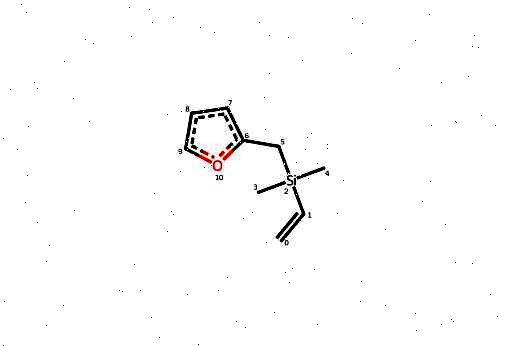 C=C[Si](C)(C)Cc1ccco1